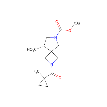 CC(C)(C)OC(=O)N1C[C@@H](C(=O)O)C2(C1)CN(C(=O)C1(C(F)(F)F)CC1)C2